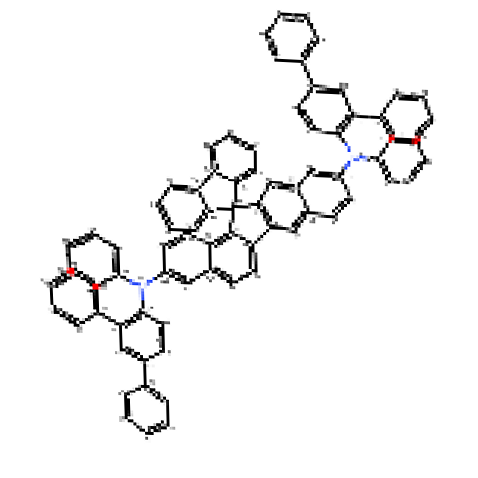 c1ccc(-c2ccc(N(c3ccccc3)c3ccc4cc5c(cc4c3)C3(c4ccccc4-c4ccccc43)c3c-5ccc4cc(N(c5ccccc5)c5ccc(-c6ccccc6)cc5-c5ccccc5)ccc34)c(-c3ccccc3)c2)cc1